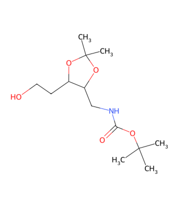 CC(C)(C)OC(=O)NCC1OC(C)(C)OC1CCO